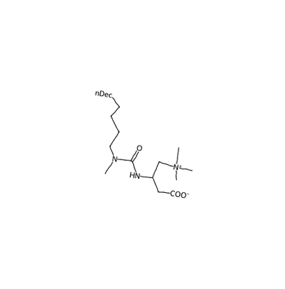 CCCCCCCCCCCCCCN(C)C(=O)NC(CC(=O)[O-])C[N+](C)(C)C